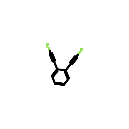 FC#Cc1ccccc1C#CF